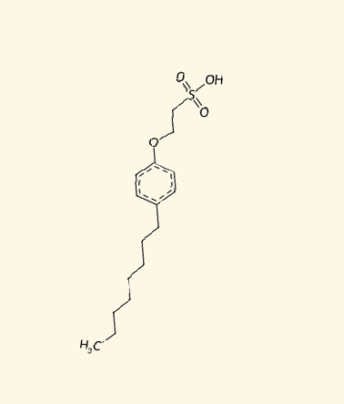 CCCCCCCCc1ccc(OCCS(=O)(=O)O)cc1